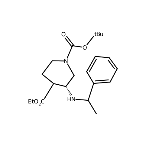 CCOC(=O)C1CCN(C(=O)OC(C)(C)C)C[C@@H]1NC(C)c1ccccc1